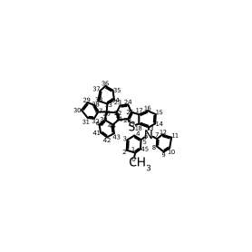 Cc1cccc(N(c2ccccc2)c2cccc3c2sc2c4c(ccc23)C(c2ccccc2)(c2ccccc2)c2ccccc2-4)c1